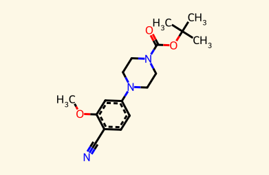 COc1cc(N2CCN(C(=O)OC(C)(C)C)CC2)ccc1C#N